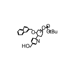 CC(C)(C)OC(=O)ON1CCC(c2ccc(CO)cn2)C(OCc2ccc3ccccc3c2)C1